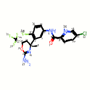 C[C@]1(c2cc(NC(=O)c3ccc(Cl)cn3)ccc2F)C[C@@H](C(F)(F)F)OC(N)=N1